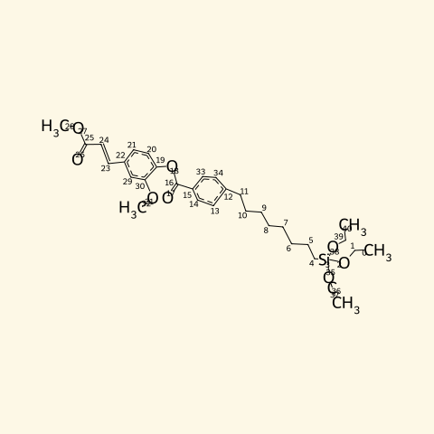 CCO[Si](CCCCCCCCc1ccc(C(=O)Oc2ccc(/C=C/C(=O)OC)cc2OC)cc1)(OCC)OCC